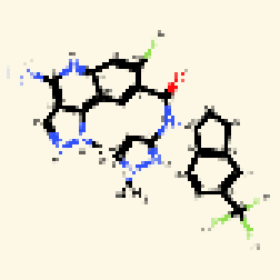 Cn1ccc(N(C(=O)c2cc3c(cc2F)nc(N)c2cnn(C)c23)[C@@H]2CCc3cc(C(F)(F)F)ccc32)n1